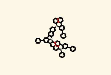 c1ccc(-c2ccc(-c3ccccc3)c(N(c3ccccc3)c3ccc4cc5c6cc(-c7ccccc7)cc7c8cc9ccc(N(c%10ccccc%10)c%10cc(-c%11ccccc%11)ccc%10-c%10ccccc%10)cc9cc8n(c5cc4c3)c67)c2)cc1